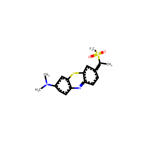 C/C(=c1\ccc2c(c1)Sc1cc(N(C)C)ccc1N=2)S(=O)(=O)C(F)(F)F